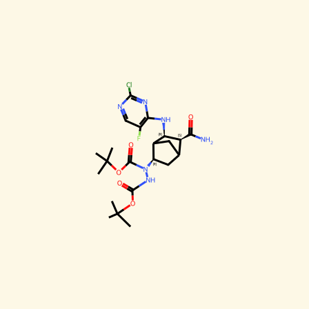 CC(C)(C)OC(=O)NN(C(=O)OC(C)(C)C)[C@@H]1CC2CC1[C@@H](Nc1nc(Cl)ncc1F)[C@H]2C(N)=O